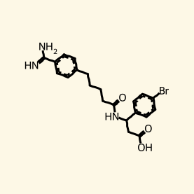 N=C(N)c1ccc(CCCCC(=O)NC(CC(=O)O)c2ccc(Br)cc2)cc1